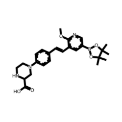 COc1ncc(B2OC(C)(C)C(C)(C)O2)cc1C=Cc1ccc(N2CCNC(C(=O)O)C2)cc1